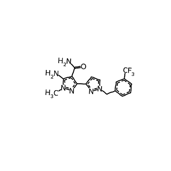 Cn1nc(-c2ccn(Cc3cccc(C(F)(F)F)c3)n2)c(C(N)=O)c1N